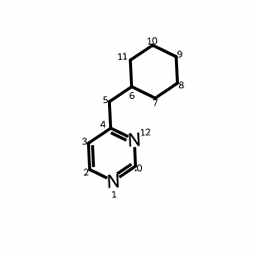 [c]1nccc(CC2CCCCC2)n1